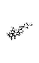 [2H]C1COC([2H])C1([2H])n1c(Nc2c(F)cc(F)cc2F)nc2cnc(NC3CCC(O)CC3)nc21